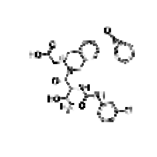 CC(O)C(NC(=O)Nc1cccc(Cl)c1)C(=O)N1Cc2ccccc2C[C@@H]1CC(=O)O.O=c1c2ccccc12